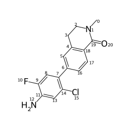 CN1CCc2cc(-c3cc(F)c(N)cc3Cl)ccc2C1=O